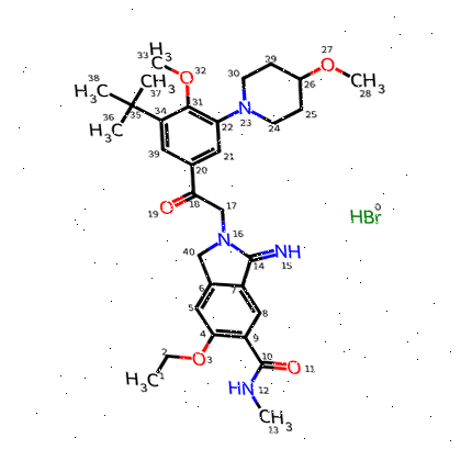 Br.CCOc1cc2c(cc1C(=O)NC)C(=N)N(CC(=O)c1cc(N3CCC(OC)CC3)c(OC)c(C(C)(C)C)c1)C2